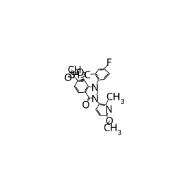 COc1ccc(N2CN(c3ccc(F)cc3C)c3cc(S(C)(=O)=O)ccc3C2=O)c(C)n1